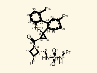 CC(C)NS(=O)(=O)NC[C@@H]1[C@H](F)CN1C(=O)[C@@H]1C[C@@]1(F)c1ccc(F)cc1-c1c(F)cccc1F